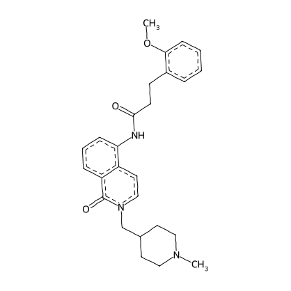 COc1ccccc1CCC(=O)Nc1cccc2c(=O)n(CC3CCN(C)CC3)ccc12